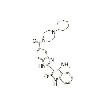 Nc1c(-c2nc3cc(C(=O)N4CCN(C5CCCCC5)CC4)ccc3[nH]2)c(=O)[nH]c2ccccc12